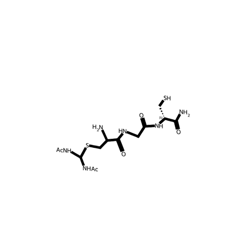 CC(=O)NC(NC(C)=O)SCC(N)C(=O)NCC(=O)N[C@H](CS)C(N)=O